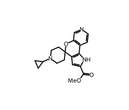 COC(=O)c1cc2c([nH]1)-c1ccncc1OC21CCN(C2CC2)CC1